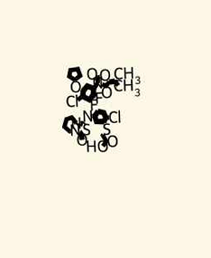 CC(C)=C1OC(=O)N(c2cc(OC3CCCC3)c(Cl)cc2F)C1=O.O=C(O)CSc1cc(N=c2sc(=O)n3n2CCCC3)c(F)cc1Cl